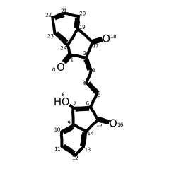 O=C1C(=CC=CC2=C(O)c3ccccc3C2=O)C(=O)c2ccccc21